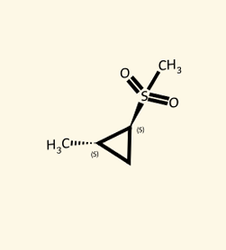 C[C@H]1C[C@@H]1S(C)(=O)=O